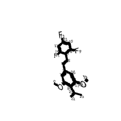 COc1cc(C=Cc2c(F)cc(F)cc2F)cc(OC)c1C(C)C